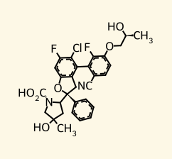 C[C@H](O)COc1ccc(C#N)c(-c2c(Cl)c(F)cc3c2C[C@](c2ccccc2)(C2CC(C)(O)CN2C(=O)O)O3)c1F